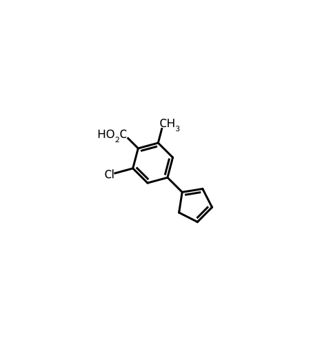 Cc1cc(C2=CC=CC2)cc(Cl)c1C(=O)O